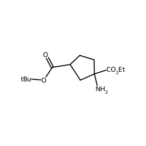 CCOC(=O)C1(N)CCC(C(=O)OC(C)(C)C)C1